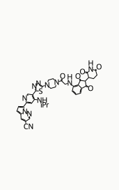 CC(C)Nc1cc(-c2ccc3cc(C#N)cnn23)ncc1-c1nnc(N2CCN(C(=O)CNc3cccc4c3C(=O)C(C3CCC(=O)NC3=O)C4=O)CC2)s1